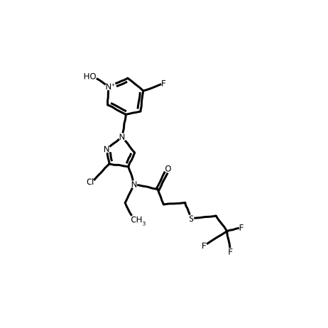 CCN(C(=O)CCSCC(F)(F)F)c1cn(-c2cc(F)c[n+](O)c2)nc1Cl